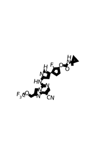 CC1(NC(=O)O[C@H]2CC[C@@H](c3cc(Nc4ncc(C#N)c5nc(COC(F)(F)F)cn45)n[nH]3)[C@@H]2F)CC1